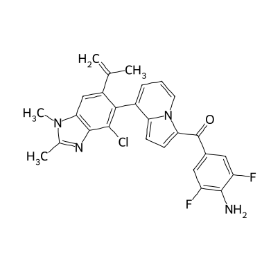 C=C(C)c1cc2c(nc(C)n2C)c(Cl)c1-c1cccn2c(C(=O)c3cc(F)c(N)c(F)c3)ccc12